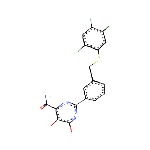 NC(=O)c1nc(-c2cccc(CSc3cc(Cl)c(Cl)cc3Cl)c2)nc(O)c1O